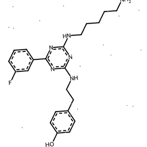 NCCCCCNc1nc(NCCc2ccc(O)cc2)nc(-c2cccc(F)c2)n1